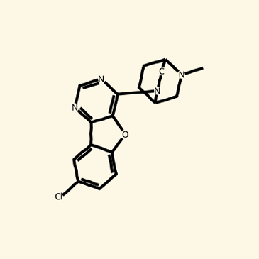 CN1CC2CCC1CN2c1ncnc2c1oc1ccc(Cl)cc12